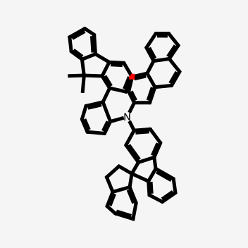 CC1(C)c2ccccc2-c2cccc(-c3ccccc3N(c3ccc4c(c3)C3(CCc5ccccc53)c3ccccc3-4)c3ccc4c(ccc5ccccc54)c3)c21